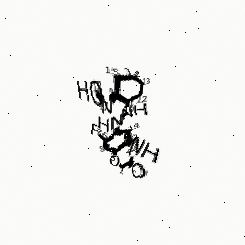 O=C1COc2cc(F)c(NNC3CCCCC3=NO)cc2N1